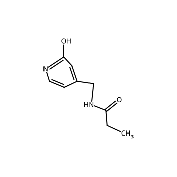 CCC(=O)NCc1ccnc(O)c1